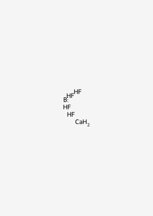 F.F.F.F.[B].[CaH2]